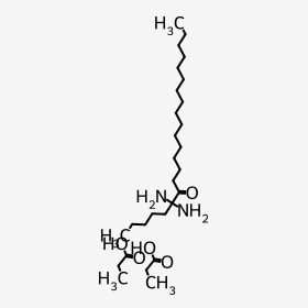 CCC(=O)O.CCC(=O)O.CCCCCCCCCCCCCCCC(=O)C(N)(N)CCCCC